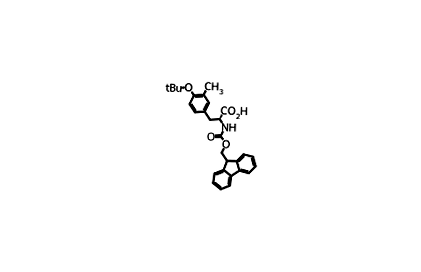 Cc1cc(C[C@H](NC(=O)OCC2c3ccccc3-c3ccccc32)C(=O)O)ccc1OC(C)(C)C